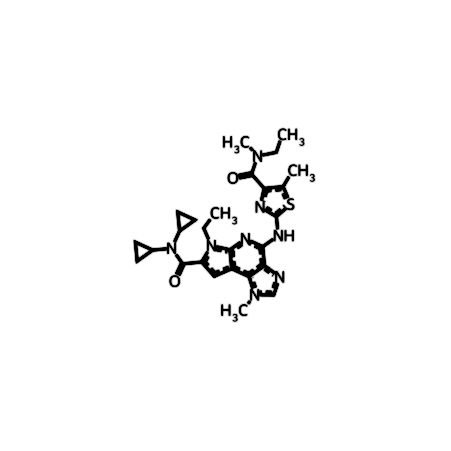 CCN(C)C(=O)c1nc(Nc2nc3c(cc(C(=O)N(C4CC4)C4CC4)n3CC)c3c2ncn3C)sc1C